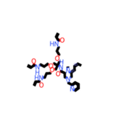 C=CC(=O)NCCCOCC(COCCCNC(=O)C=C)(COCCCNC(=O)C=C)NC(=O)CCN(C/C(=C/C=C\C)N=C)Cc1ccccn1